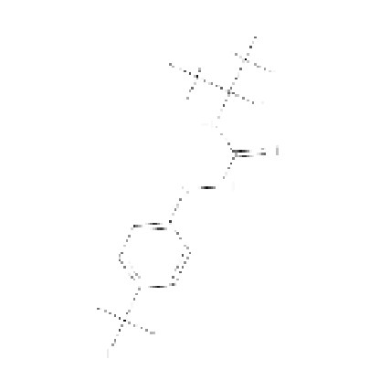 C=C(NNc1ccc(C(F)(F)F)cc1)NC(C)(C(F)(F)F)C(F)(F)F